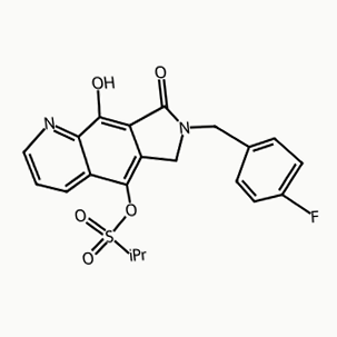 CC(C)S(=O)(=O)Oc1c2c(c(O)c3ncccc13)C(=O)N(Cc1ccc(F)cc1)C2